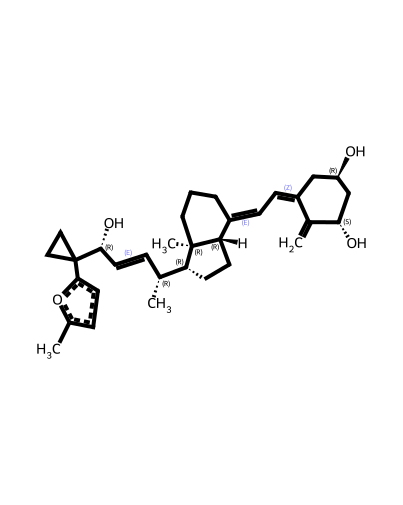 C=C1/C(=C\C=C2/CCC[C@]3(C)[C@@H]([C@H](C)/C=C/[C@@H](O)C4(c5ccc(C)o5)CC4)CC[C@@H]23)C[C@@H](O)C[C@@H]1O